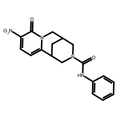 O=C(Nc1ccccc1)N1CC2CC(C1)c1ccc([N+](=O)[O-])c(=O)n1C2